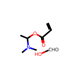 C=CC(=O)OC(C)N(C)C.O=CO